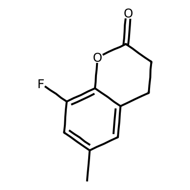 Cc1cc(F)c2c(c1)CCC(=O)O2